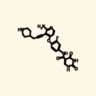 Nc1nccc(Oc2ccc(NC(=O)c3c[nH]c(=O)[nH]c3=O)cc2F)c1C#CCC1CCNCC1